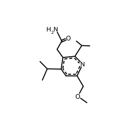 COCc1cc(C(C)C)c(CC(N)=O)c(C(C)C)n1